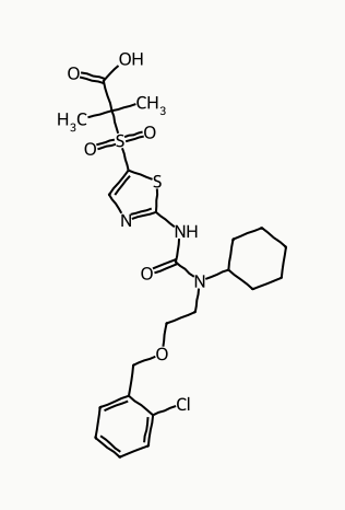 CC(C)(C(=O)O)S(=O)(=O)c1cnc(NC(=O)N(CCOCc2ccccc2Cl)C2CCCCC2)s1